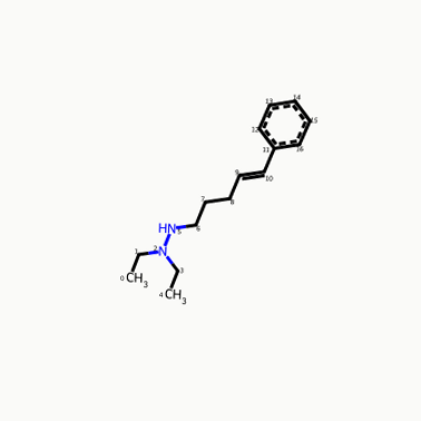 CCN(CC)NCCCC=Cc1ccccc1